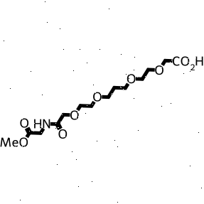 COC(=O)CNC(=O)COCCOCCCOCCOCC(=O)O